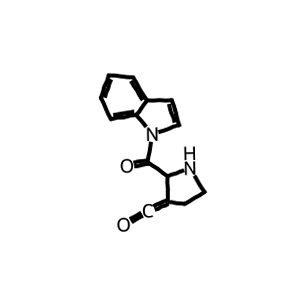 O=C=C1CCNC1C(=O)n1ccc2ccccc21